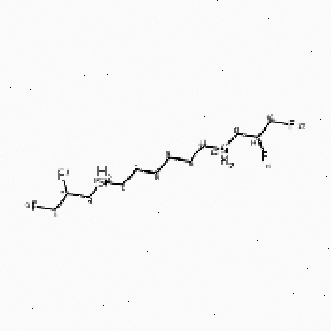 FCC(F)C[SiH2]CCCCCC[SiH2]CC(F)CF